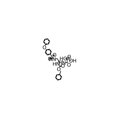 O=C(N[C@@H](CNC(=O)P(=O)(O)O)CNS(=O)(=O)c1ccc(Oc2ccccc2)cc1)OCc1ccccc1